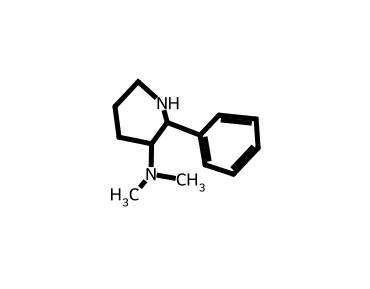 CN(C)C1CCCNC1c1ccccc1